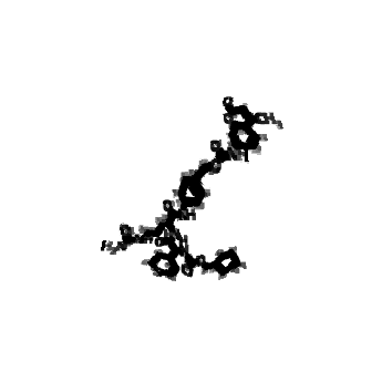 Cc1cc(=O)oc2cc(NC(=O)OCc3ccc(NC(=O)[C@H](CCCNC(N)=O)NC(=O)C(NC(=O)OCc4ccccc4)C4CCSCC4)cc3)ccc12